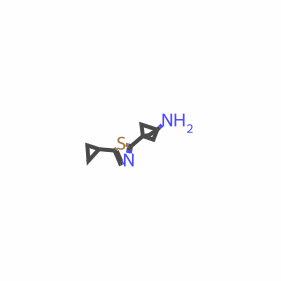 NC12CC(c3ncc(C4CC4)s3)(C1)C2